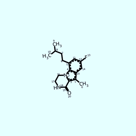 Cc1c2n(c3c(CCC(C)C)cc(F)cc13)CCNC2=O